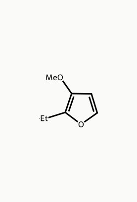 C[CH]c1occc1OC